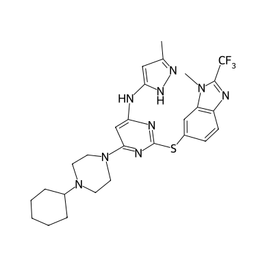 Cc1cc(Nc2cc(N3CCN(C4CCCCC4)CC3)nc(Sc3ccc4nc(C(F)(F)F)n(C)c4c3)n2)[nH]n1